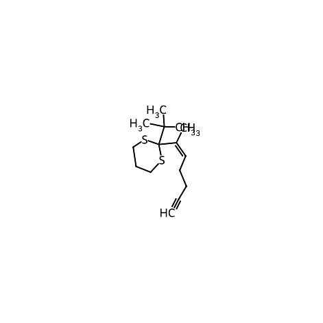 C#CCC/C=C(/C)C1(C(C)(C)C)SCCCS1